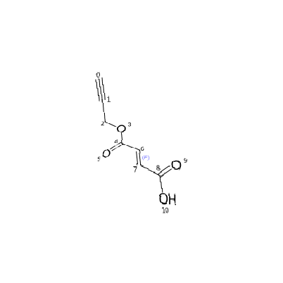 C#CCOC(=O)/C=C/C(=O)O